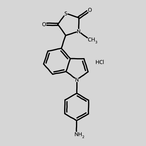 CN1C(=O)SC(=O)C1c1cccc2c1ccn2-c1ccc(N)cc1.Cl